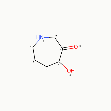 O=C1CNCCCC1O